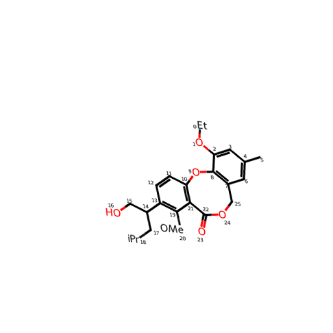 CCOc1cc(C)cc2c1Oc1ccc(C(CO)CC(C)C)c(OC)c1C(=O)OC2